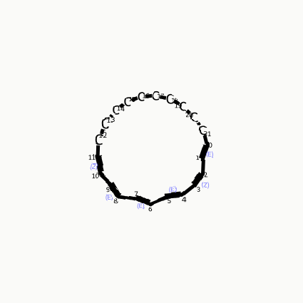 [C]1=C/C=C\C=C\C=C\C=C\C=C/CCCCCCCCCC/1